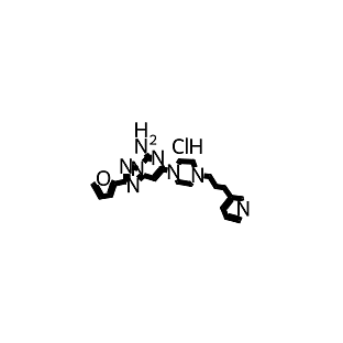 Cl.Nc1nc(N2CCN(CCCc3cccnc3)CC2)cc2nc(-c3ccco3)nn12